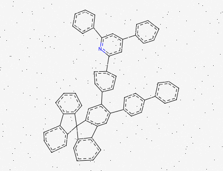 c1ccc(-c2ccc(-c3cc4c(cc3-c3ccc(-c5cc(-c6ccccc6)cc(-c6ccccc6)n5)cc3)C3(c5ccccc5-c5ccccc53)c3ccccc3-4)cc2)cc1